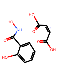 O=C(NO)c1ccccc1O.O=C(O)/C=C\C(=O)O